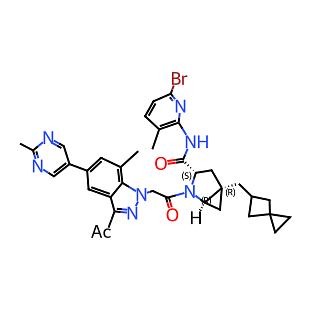 CC(=O)c1nn(CC(=O)N2[C@H](C(=O)Nc3nc(Br)ccc3C)C[C@@]3(CC4CC5(CC5)C4)C[C@@H]23)c2c(C)cc(-c3cnc(C)nc3)cc12